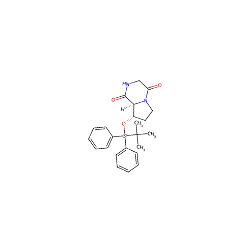 CC(C)(C)[Si](O[C@H]1CCN2C(=O)CNC(=O)[C@H]12)(c1ccccc1)c1ccccc1